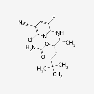 C[C@@H](Nc1nc(Cl)c(C#N)cc1F)[C@H](CCC(C)(C)C)OC(N)=O